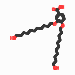 O=C(O)c1ccc(OCCCCCCCCCCCO)c(OCCCCCCCCCCCO)c1